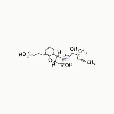 CC#CC[C@@H](C)C(O)/C=C/[C@H]1[C@@H]2c3cccc(CCCC(=O)O)c3O[C@@H]2C[C@@H]1O